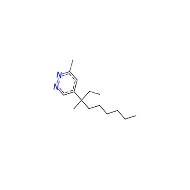 CCCCCCC(C)(CC)c1cnnc(C)c1